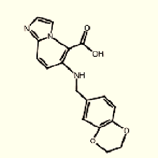 O=C(O)c1c(NCc2ccc3c(c2)OCCO3)ccc2nccn12